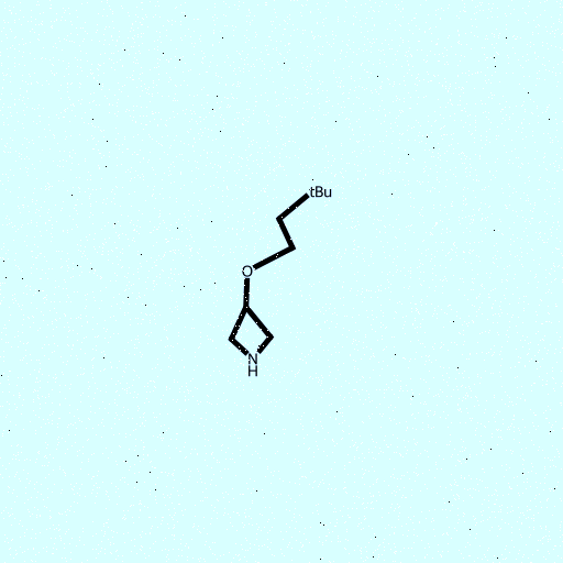 CC(C)(C)CCOC1CNC1